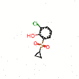 O=S(=O)(c1cccc(Cl)c1O)C1CC1